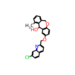 Cc1cccc2c1C(O)c1cc(OCc3ccc4ccc(Cl)cc4n3)ccc1OC2